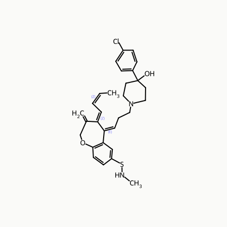 C=C1COc2ccc(SNC)cc2C(=C/CCN2CCC(O)(c3ccc(Cl)cc3)CC2)/C1=C/C=C\C